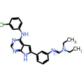 CCN(/C=N/c1cccc(-c2cc3c(Nc4cccc(Cl)c4)ncnc3[nH]2)c1)CC